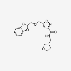 O=C(NCC1CCOC1)c1cc(COCC2Oc3ccccc3O2)on1